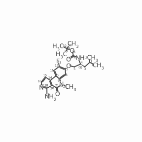 CC(C)C[C@@H](COc1cc2c(cc1F)c1ccnc(N)c1c(=O)n2C)NC(=O)OC(C)(C)C